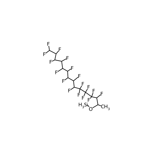 CC(O[SiH3])C(F)C(F)(F)C(F)(F)C(F)(F)C(F)C(F)C(F)C(F)C(F)C(F)C(F)C(F)C(F)F